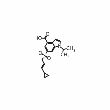 CC(C)n1ccc2c(C(=O)O)cc(S(=O)(=O)CC=CC3CC3)cc21